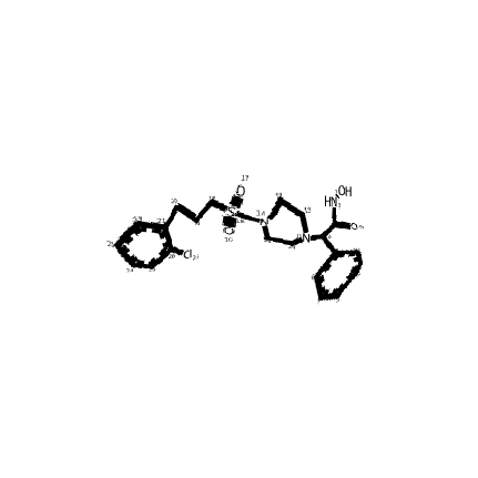 O=C(NO)C(c1ccccc1)N1CCN(S(=O)(=O)CC=Cc2ccccc2Cl)CC1